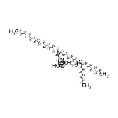 CCCCCCCCCOCCCCCCCCN(CCCCCCCC(=O)OC(CCCCCCCC)CCCCCCCC)CCCN(O)S(C)(=O)=O